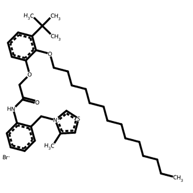 CCCCCCCCCCCCCCOc1c(OCC(=O)Nc2ccccc2C[n+]2cscc2C)cccc1C(C)(C)C.[Br-]